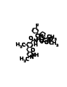 Cc1cc(Cc2ccc(C(=O)NCC(=O)N3[C@H](C4(C)C=C(F)C=CC4)CC[C@@H]3C(C)(C)S(C)(=O)=O)cc2C)c(=O)[nH]n1